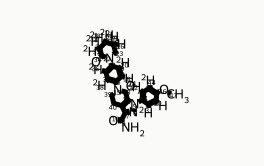 [2H]c1c([2H])c(-n2nc(C(N)=O)c3c2C(=O)N(c2c([2H])c([2H])c(N4CC([2H])([2H])C([2H])([2H])C([2H])([2H])C4=O)c([2H])c2[2H])CC3)c([2H])c([2H])c1OC